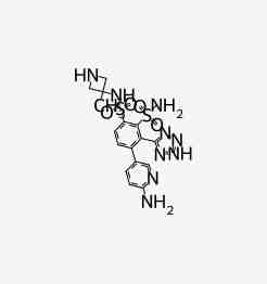 CC1(NS(=O)(=O)c2ccc(-c3ccc(N)nc3)c(-c3nn[nH]n3)c2S(N)(=O)=O)CNC1